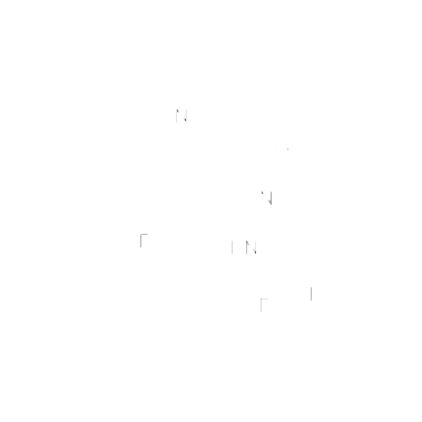 O=C1N=C(NCC(F)F)c2cc(F)c(C3CC3)cc2C12CCc1ncccc12